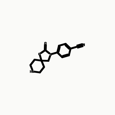 N#Cc1ccc(N2CC3(CCNCC3)OC2=O)cc1